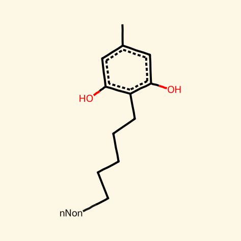 CCCCCCCCCCCCCCc1c(O)cc(C)cc1O